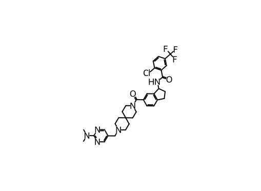 CN(C)c1ncc(CN2CCC3(CC2)CCN(C(=O)c2ccc4c(c2)C(NC(=O)c2cc(C(F)(F)F)ccc2Cl)CC4)CC3)cn1